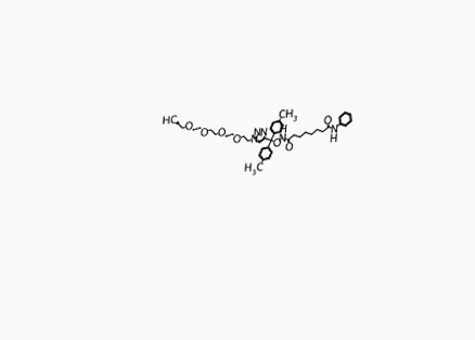 C#CCOCCOCCOCCOCCn1cc(C(ONC(=O)CCCCCCC(=O)Nc2ccccc2)(c2ccc(C)cc2)c2ccc(C)cc2)nn1